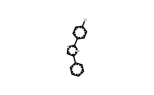 Clc1ccc(-c2nc(-c3ccccc3)cs2)cc1